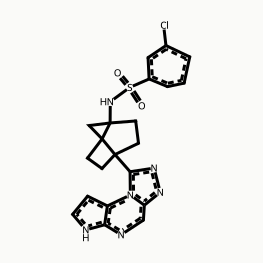 O=S(=O)(NC12CCC3(c4nnc5cnc6[nH]ccc6n45)CCC13C2)c1cccc(Cl)c1